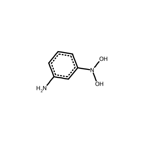 Nc1cccc(N(O)O)c1